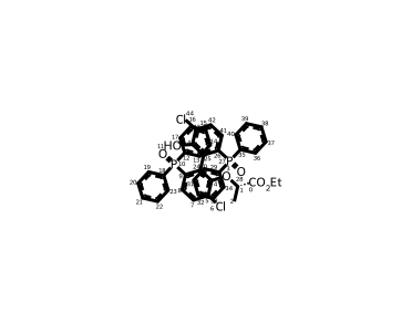 CCOC(=O)[C@H](C)Oc1c(Cl)ccc(P(=O)(c2ccccc2)c2ccccc2)c1-c1c(P(=O)(c2ccccc2)c2ccccc2)ccc(Cl)c1O